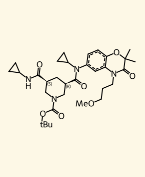 COCCCN1C(=O)C(C)(C)Oc2ccc(N(C(=O)[C@@H]3C[C@H](C(=O)NC4CC4)CN(C(=O)OC(C)(C)C)C3)C3CC3)cc21